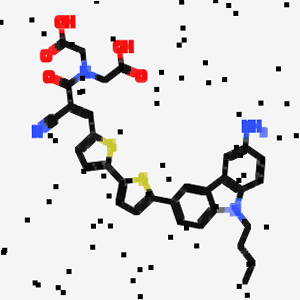 CCCCn1c2ccc(N)cc2c2cc(-c3ccc(-c4ccc(/C=C(\C#N)C(=O)N(CC(=O)O)CC(=O)O)s4)s3)ccc21